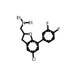 CCN(CC)CC1Cc2cc(Cl)cc(-c3ccc(F)c(F)c3)c2O1